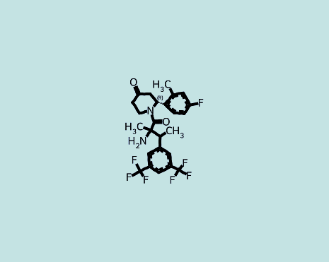 Cc1cc(F)ccc1[C@H]1CC(=O)CCN1C(=O)C(C)(N)C(C)c1cc(C(F)(F)F)cc(C(F)(F)F)c1